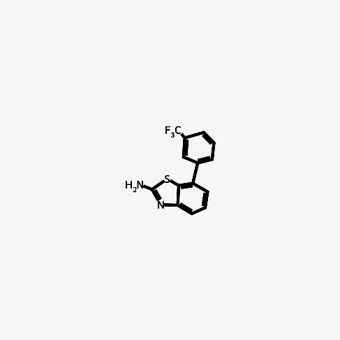 Nc1nc2cccc(-c3cccc(C(F)(F)F)c3)c2s1